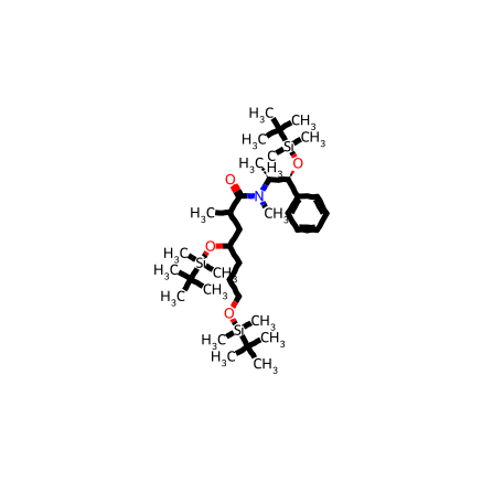 CC(CC(CCCO[Si](C)(C)C(C)(C)C)O[Si](C)(C)C(C)(C)C)C(=O)N(C)[C@H](C)[C@H](O[Si](C)(C)C(C)(C)C)c1ccccc1